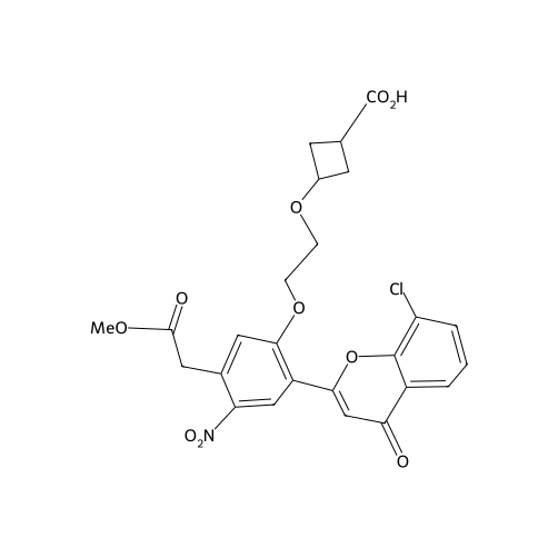 COC(=O)Cc1cc(OCCOC2CC(C(=O)O)C2)c(-c2cc(=O)c3cccc(Cl)c3o2)cc1[N+](=O)[O-]